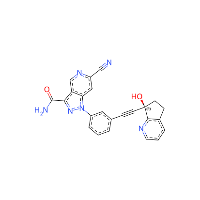 N#Cc1cc2c(cn1)c(C(N)=O)nn2-c1cccc(C#C[C@]2(O)CCc3cccnc32)c1